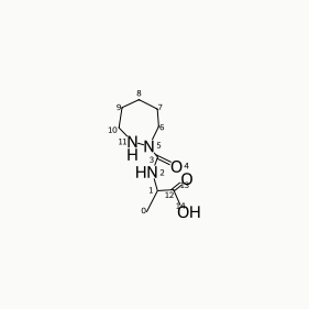 CC(NC(=O)N1CCCCCN1)C(=O)O